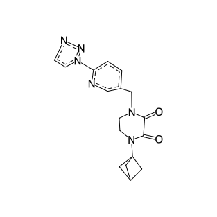 O=C1C(=O)N(C23CC(C2)C3)CCN1Cc1ccc(-n2ccnn2)nc1